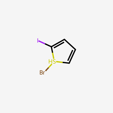 Br[SH]1C=CC=C1I